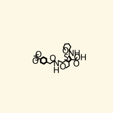 CS(=O)(=O)c1ccc(CC(=O)NCC2OCCc3c2sc(NC2CCCCO2)c3C(=O)O)cc1